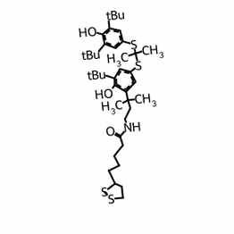 CC(C)(Sc1cc(C(C)(C)C)c(O)c(C(C)(C)C)c1)Sc1cc(C(C)(C)C)c(O)c(C(C)(C)CCNC(=O)CCCCC2CCSS2)c1